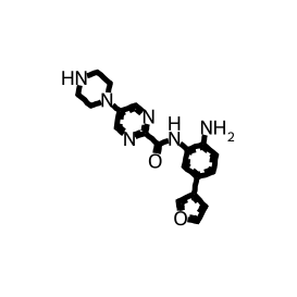 Nc1ccc(-c2ccoc2)cc1NC(=O)c1ncc(N2CCNCC2)cn1